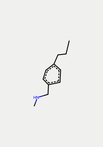 CCCc1ccc(CNC)cc1